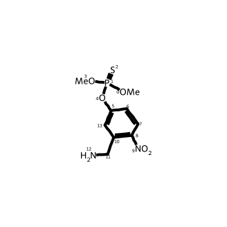 COP(=S)(OC)Oc1ccc([N+](=O)[O-])c(CN)c1